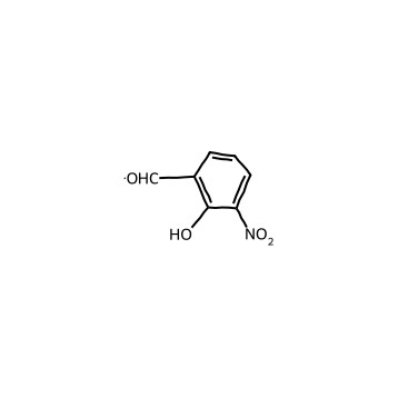 O=[C]c1cccc([N+](=O)[O-])c1O